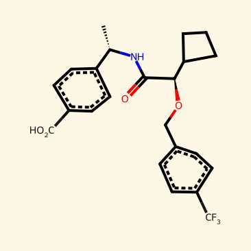 C[C@H](NC(=O)[C@H](OCc1ccc(C(F)(F)F)cc1)C1CCC1)c1ccc(C(=O)O)cc1